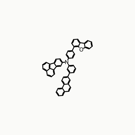 c1cc(-c2ccc3c(ccc4ccccc43)c2)cc(N(c2ccc(-c3cccc4c3oc3ccccc34)cc2)c2ccc3c(c2)-c2cccc4cccc-3c24)c1